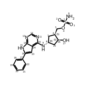 NS(=O)(=O)OC[C@@H]1C[C@@H](Nc2ncnc3[nH]c(-c4ccccc4)cc23)C[C@@H]1O